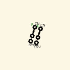 CCCCC[C@H]1CC[C@H](c2ccc(C#Cc3ccc(C#N)c(F)c3)cc2)CC1.CCCC[C@H]1CC[C@H](c2ccc(C#Cc3ccc(C#N)c(F)c3)cc2)CC1